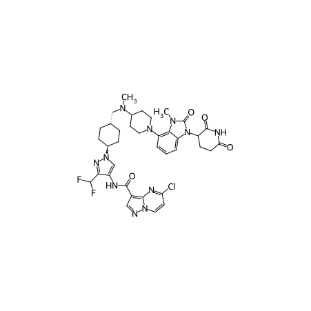 CN(C[C@H]1CC[C@H](n2cc(NC(=O)c3cnn4ccc(Cl)nc34)c(C(F)F)n2)CC1)C1CCN(c2cccc3c2n(C)c(=O)n3C2CCC(=O)NC2=O)CC1